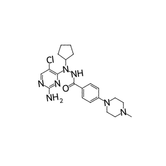 CN1CCN(c2ccc(C(=O)NN(c3nc(N)ncc3Cl)C3CCCC3)cc2)CC1